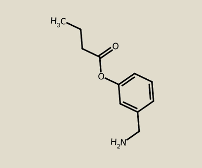 CCCC(=O)Oc1cccc(CN)c1